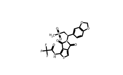 CS(=O)(=O)C[C@@H](c1ccc2c(c1)OCO2)N1C(=O)c2csc(NC(=O)C(F)(F)F)c2C1=O